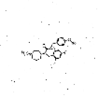 CC(C)Oc1ccc(CNC(=O)N(Cc2ccc(F)cc2F)C2CCCN(C)CC2)cc1